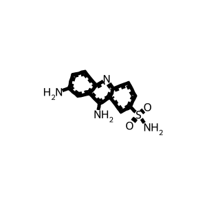 Nc1ccc2nc3ccc(S(N)(=O)=O)cc3c(N)c2c1